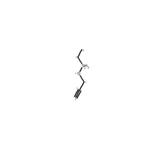 C#CCO[SiH2]CC